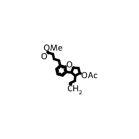 C=CCC1C(OC(C)=O)CC2Oc3c(CCCC(=O)OC)cccc3C21